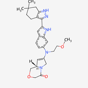 COCCN(C1=C[C@H]2COCC(=O)N2C1)c1ccc2cc(-c3n[nH]c4c3CCC(C)(C)C4)[nH]c2c1